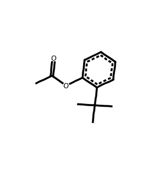 CC(=O)Oc1ccccc1C(C)(C)C